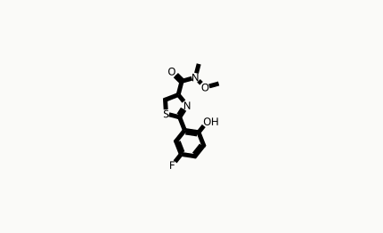 CON(C)C(=O)C1CSC(c2cc(F)ccc2O)=N1